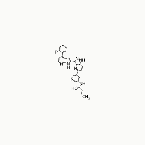 CCCC(O)Nc1cncc(-c2ccc3[nH]nc(-c4cc5c(-c6ccccc6F)ccnc5[nH]4)c3n2)c1